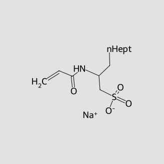 C=CC(=O)NC(CCCCCCCC)CS(=O)(=O)[O-].[Na+]